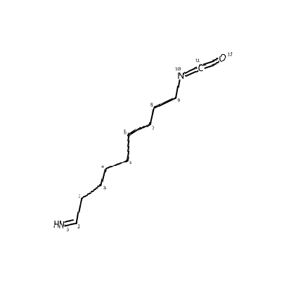 N=CCCCCCCCCN=C=O